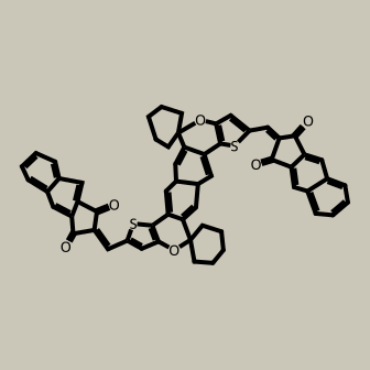 O=C1C(=Cc2cc3c(s2)C2=CC4C=C5C(=CC4C=C2C2(CCCCC2)O3)c2sc(C=C3C(=O)c4cc6ccccc6cc4C3=O)cc2OC52CCCCC2)C(=O)c2cc3ccccc3cc21